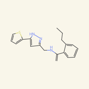 C=C(NCc1cc(-c2cccs2)[nH]n1)c1ccccc1CCC